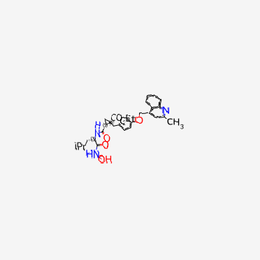 CCOC(=O)[C@@]1(Cc2ccc(OCc3cc(C)nc4ccccc34)cc2)C[C@@H]1C(=O)N[C@@H](CC(C)C)C(=O)NO